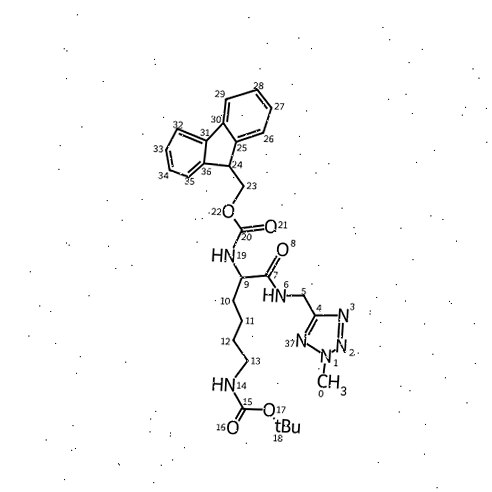 Cn1nnc(CNC(=O)C(CCCCNC(=O)OC(C)(C)C)NC(=O)OCC2c3ccccc3-c3ccccc32)n1